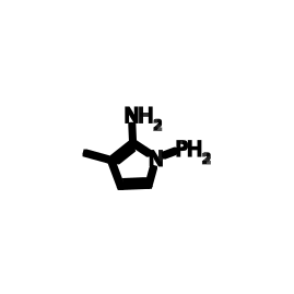 Cc1ccn(P)c1N